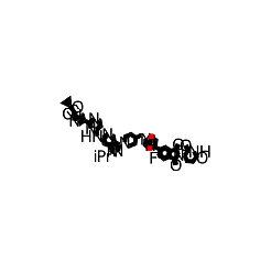 CC(C)n1nc(N2CCC(CN3CC4CCC3CN4c3cc4c(cc3F)C(=O)N(C3CCC(=O)NC3=O)C4=O)CC2)c2cnc(Nc3ccnc(-c4cnn(S(=O)(=O)C5CC5)c4)n3)cc21